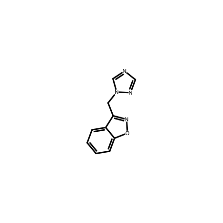 c1ccc2c(Cn3cncn3)noc2c1